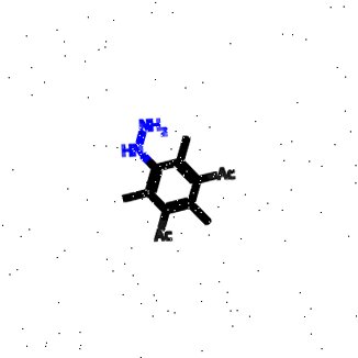 CC(=O)c1c(C)c(NN)c(C)c(C(C)=O)c1C